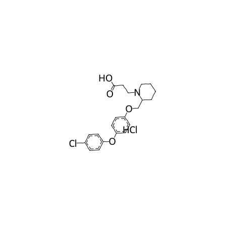 Cl.O=C(O)CCN1CCCCC1COc1ccc(Oc2ccc(Cl)cc2)cc1